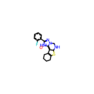 [O-][NH+]1C(c2ccccc2F)=NN2CNC3SC4=C(CCCC4)C3=C21